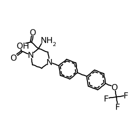 CC(=O)C1(N)CN(c2ccc(-c3ccc(OC(F)(F)F)cc3)cc2)CCN1C(=O)O